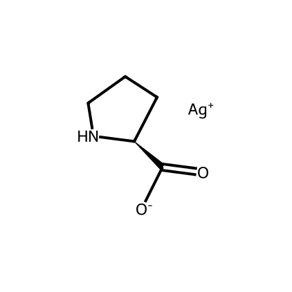 O=C([O-])[C@@H]1CCCN1.[Ag+]